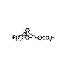 O=C(O)c1ccc(CCC(/C=C/c2ccccc2OCCCC(F)(F)F)Cc2ccc(C(=O)O)cc2)cc1